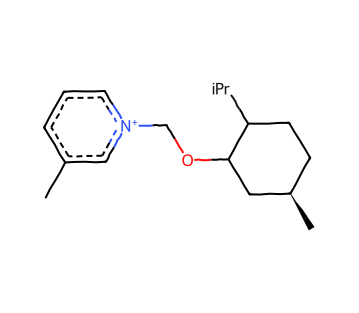 Cc1ccc[n+](COC2C[C@H](C)CCC2C(C)C)c1